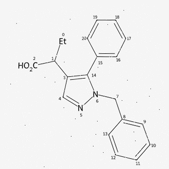 CCC(C(=O)O)c1cnn(Cc2ccccc2)c1-c1ccccc1